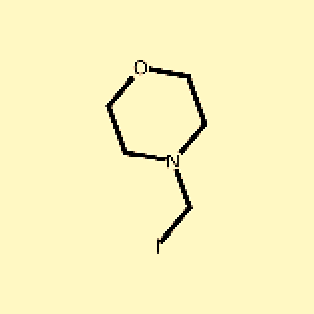 ICN1CCOCC1